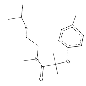 Cc1ccc(OC(C)(C)C(=O)N(C)CCSC(C)C)cc1